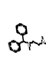 CN(C)CCN(C)C(c1ccccc1)c1ccccc1